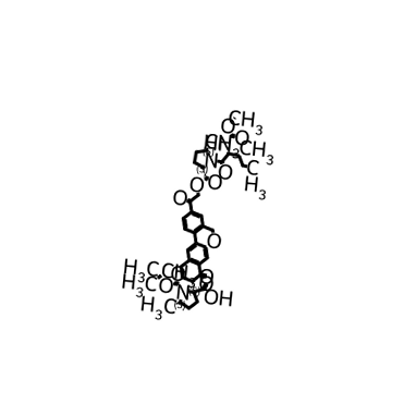 CCC(C)C(NC(=O)OC)C(=O)N1[C@@H](C)CC[C@H]1C(=O)OCC(=O)c1ccc2c(c1)COc1cc3c(cc1-2)CCC([C@]1(C(=O)O)CC[C@H](C)N1C(=O)OC(C)(C)C)C3=O